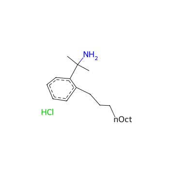 CCCCCCCCCCCc1ccccc1C(C)(C)N.Cl